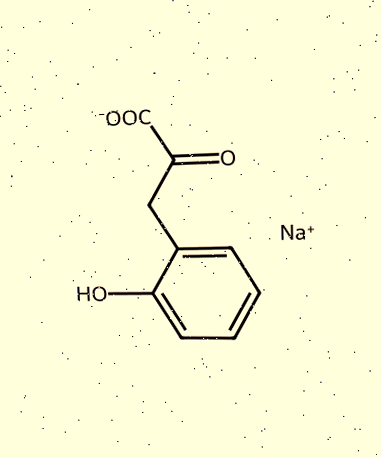 O=C([O-])C(=O)Cc1ccccc1O.[Na+]